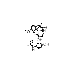 CC(=O)Nc1ccc(O)cc1.COc1ccc2c3c1O[C@H]1[C@@H](O)C=C[C@H]4[C@@H](C2)N(C)CC[C@@]341